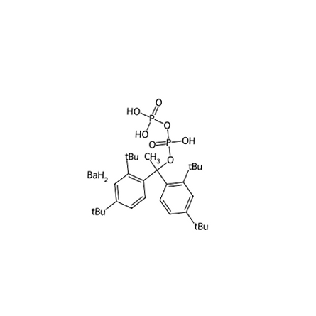 CC(C)(C)c1ccc(C(C)(OP(=O)(O)OP(=O)(O)O)c2ccc(C(C)(C)C)cc2C(C)(C)C)c(C(C)(C)C)c1.[BaH2]